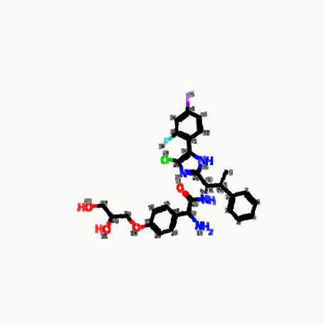 C[C@@H](c1ccccc1)[C@H](NC(=O)C(N)c1ccc(OCC(O)CO)cc1)c1nc(Cl)c(-c2ccc(I)cc2F)[nH]1